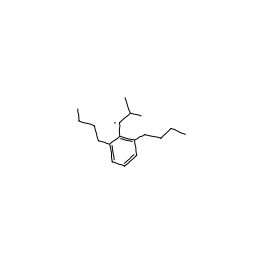 CCCCc1cccc(CCCC)c1[CH]C(C)C